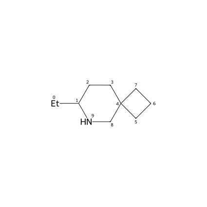 CCC1CCC2(CCC2)CN1